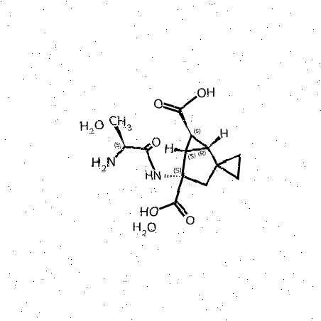 C[C@H](N)C(=O)N[C@@]1(C(=O)O)CC2(CC2)[C@H]2[C@H](C(=O)O)[C@H]21.O.O